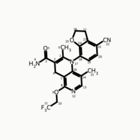 CC1=C(C(N)=O)Cc2c(OCC(F)(F)F)ncc(C)c2N1c1ccc(C#N)c2c1OCC2